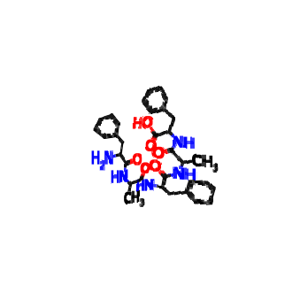 CC(NC(=O)C(N)Cc1ccccc1)C(=O)NC(Cc1ccccc1)C(=O)NC(C)C(=O)NC(Cc1ccccc1)C(=O)O